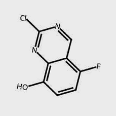 Oc1ccc(F)c2cnc(Cl)nc12